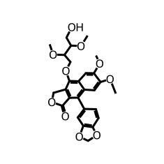 COc1cc2c(OCC(OC)C(CO)OC)c3c(c(-c4ccc5c(c4)OCO5)c2cc1OC)C(=O)OC3